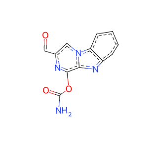 NC(=O)Oc1nc(C=O)cn2c1nc1ccccc12